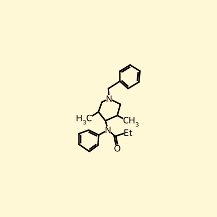 CCC(=O)N(c1ccccc1)C1C(C)CN(Cc2ccccc2)CC1C